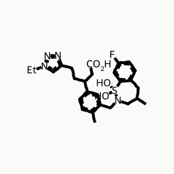 CCn1cc(CCC(CC(=O)O)c2ccc(C)c(CN3CC(C)Cc4ccc(F)cc4S3(O)O)c2)nn1